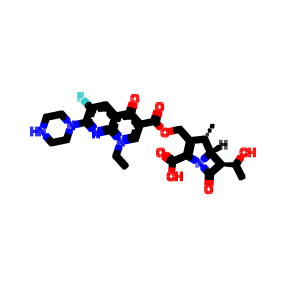 CCn1cc(C(=O)OCC2=C(C(=O)O)N3C(=O)[C@H](C(C)O)[C@H]3[C@H]2C)c(=O)c2cc(F)c(N3CCNCC3)nc21